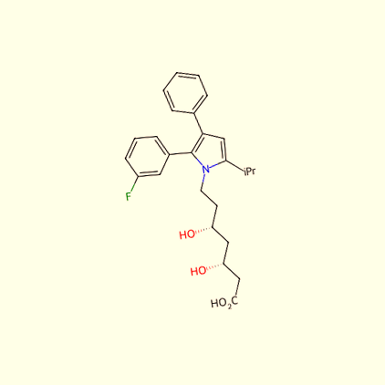 CC(C)c1cc(-c2ccccc2)c(-c2cccc(F)c2)n1CC[C@@H](O)C[C@@H](O)CC(=O)O